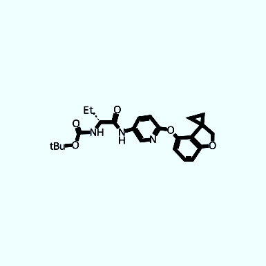 CC[C@@H](NC(=O)OC(C)(C)C)C(=O)Nc1ccc(Oc2cccc3c2C2(CC2)CO3)nc1